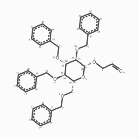 O=CCO[C@@H]1O[C@H](COCc2ccccc2)[C@@H](OCc2ccccc2)[C@H](OCc2ccccc2)[C@H]1OCc1ccccc1